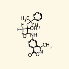 Cc1noc(=O)c2ccc(NC(=O)C(O)(CC(C)(C)c3ccccc3)C(F)(F)F)cc12